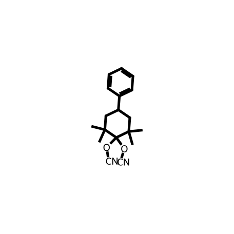 CC1(C)CC(c2ccccc2)CC(C)(C)C1(OC#N)OC#N